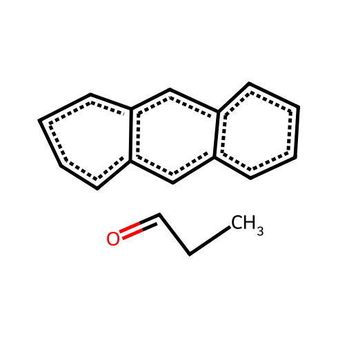 CCC=O.c1ccc2cc3ccccc3cc2c1